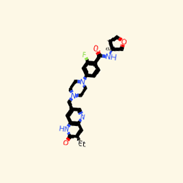 CCc1cc2ncc(CN3CCN(c4ccc(C(=O)N[C@H]5CCOC5)c(F)c4)CC3)cc2[nH]c1=O